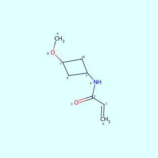 C=CC(=O)NC1CC(OC)C1